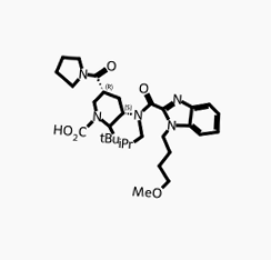 COCCCCn1c(C(=O)N(CC(C)C)[C@H]2C[C@@H](C(=O)N3CCCC3)CN(C(=O)O)C2C(C)(C)C)nc2ccccc21